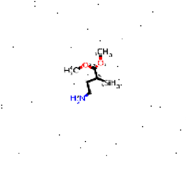 COC(OC)C([SiH3])CCN